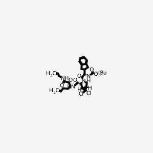 C=CCCC(NC(=O)[C@@H]1[C@@H]2[C@H](CN1C(=O)[C@@H](NC(=O)OC(C)(C)C)C1Cc3ccccc3C1)C2(Cl)Cl)C(=O)C(=O)NCC=C